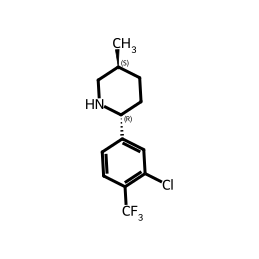 C[C@H]1CC[C@H](c2ccc(C(F)(F)F)c(Cl)c2)NC1